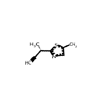 C#C[C@H](C)c1ncc(C)s1